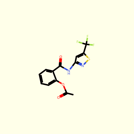 CC(=O)Oc1ccccc1C(=O)Nc1cc(C(F)(F)F)sn1